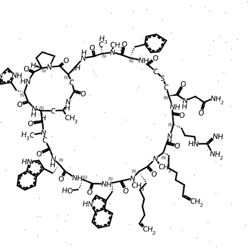 C=CCCCCC[C@H]1C(=O)N(C)[C@@H](CCCCCC=C)C(=O)N[C@@H](CCCNC(=N)N)C(=O)N[C@H](C(=O)NCC(N)=O)CSCC(=O)N[C@@H](Cc2ccccc2)C(=O)N(C)[C@@H](C)C(=O)N[C@H]2CC(=O)NC(C)C[C@H](NC(=O)[C@H](Cc3cnc[nH]3)NC(=O)[C@@H]3CCCN3C2=O)C(=O)N(C)CC(=O)N[C@@H](Cc2c[nH]c3ccccc23)C(=O)N[C@@H](CO)C(=O)N[C@@H](Cc2c[nH]c3ccccc23)C(=O)N1C